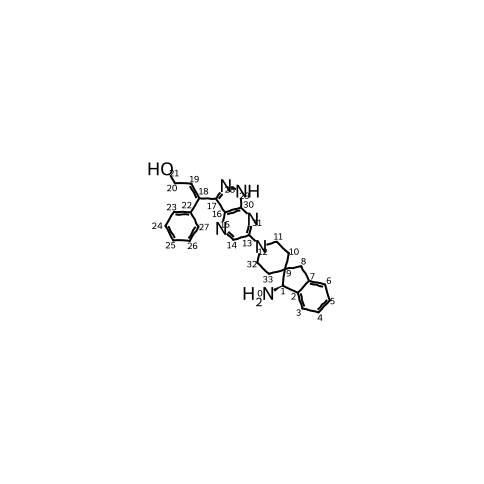 N[C@@H]1c2ccccc2CC12CCN(c1cnc3c(/C(=C/CO)c4ccccc4)n[nH]c3n1)CC2